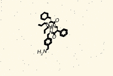 CCCN(CCC)[C@H](CC1CCCCC1)C(=O)NC[C@H](C(=O)NCc1ccc(CN)cc1)c1ccccc1